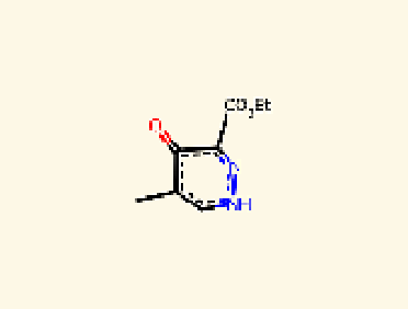 CCOC(=O)c1n[nH]cc(C)c1=O